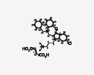 CN(C)CCCn1c2c(c3ccc(Cl)cc31)Oc1ccccc1N(Cc1ccccc1)C2.O=C(O)/C=C/C(=O)O